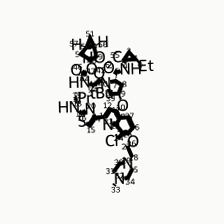 CC[C@@H]1C[C@]1(NC(=O)[C@@H]1C[C@@H](Oc2cc(-c3csc(NC(C)C)n3)nc3c(Cl)c(OCCN4CCN(C)CC4)ccc23)CN1C(=O)[C@@H](NC(=O)O[C@@H]1C[C@@H]2C[C@@H]2C1)C(C)(C)C)C(=O)O